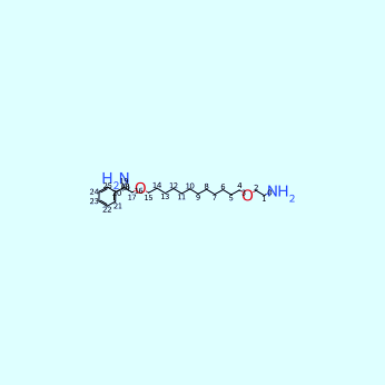 NCCOCCCCCCCCCCCCOC[C@@H](N)c1ccccc1